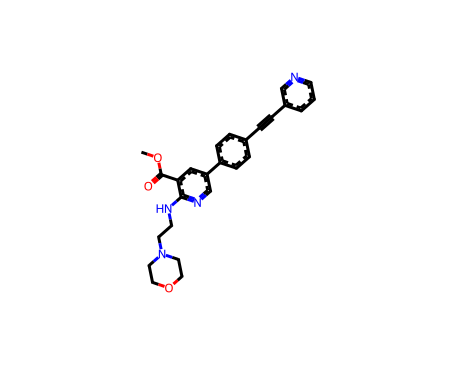 COC(=O)c1cc(-c2ccc(C#Cc3cccnc3)cc2)cnc1NCCN1CCOCC1